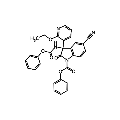 CCOc1ncccc1C1(NC(=O)Oc2ccccc2)C(=O)N(C(=O)Oc2ccccc2)c2ccc(C#N)cc21